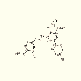 CCCOc1ccc(CCNc2nc(N3CCN(C(C)=O)CC3)nc3c2CN(C(C)C)C3=O)cc1F